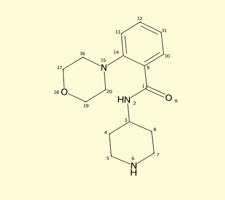 O=C(NC1CCNCC1)c1ccccc1N1CCOCC1